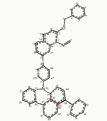 C=Nc1c(OCc2ccccc2)ccc2ccc(-c3ccc(N(c4ccc(-c5ccccc5)cc4)c4ccccc4-c4ccccc4)cc3)cc12